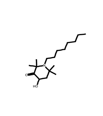 CCCCCCCCN1C(C)(C)CC(O)C(=O)C1(C)C